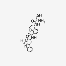 NC(=O)[C@H](Cc1c[nH]c2ccccc12)NC(=O)c1cccc2c1OCCC2NC(=O)C(N)CS